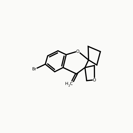 C=C1c2cc(Br)ccc2OC2(CCC2)C12COC2